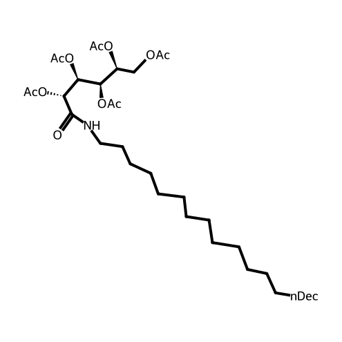 CCCCCCCCCCCCCCCCCCCCCCCNC(=O)[C@H](OC(C)=O)[C@@H](OC(C)=O)[C@H](OC(C)=O)[C@H](COC(C)=O)OC(C)=O